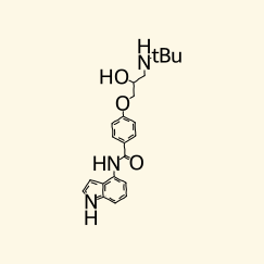 CC(C)(C)NCC(O)COc1ccc(C(=O)Nc2cccc3[nH]ccc23)cc1